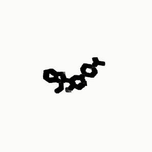 C=C(C)N1CCN(c2cc(-c3nc4ccccc4n3CC)c(Cl)cn2)CC1